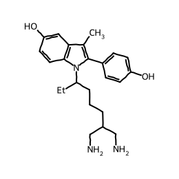 CCC(CCCC(CN)CN)n1c(-c2ccc(O)cc2)c(C)c2cc(O)ccc21